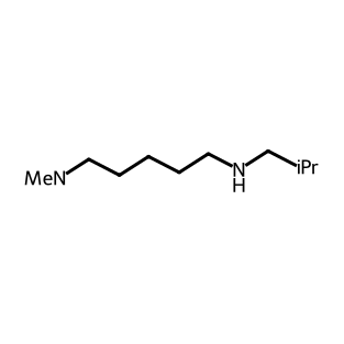 CNCCCCCNCC(C)C